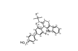 CC(C)(F)CN1CCc2c([nH]c3ccccc23)C1c1c(F)cc(-c2ccc(C(=O)O)cc2)cc1F